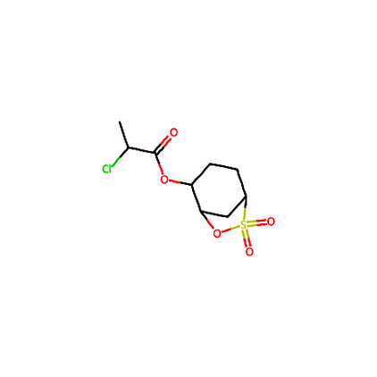 CC(Cl)C(=O)OC1CCC2CC1OS2(=O)=O